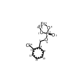 CCOP(=O)(OCC)OCc1ccccc1Cl